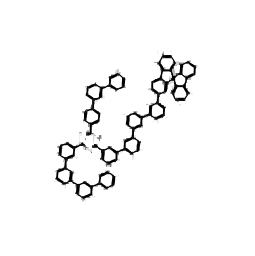 c1ccc(-c2cccc(-c3ccc(-c4nc(-c5cccc(-c6cccc(-c7cccc(-c8ccccc8)c7)c6)c5)nc(-c5cccc(-c6cccc(-c7cccc(-c8cccc(-c9ccc%10c(c9)C9(c%11ccccc%11-c%11ccccc%119)c9ccccc9-%10)c8)c7)c6)c5)n4)cc3)c2)cc1